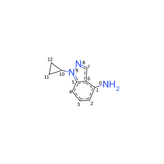 Nc1cccc2c1cnn2C1CC1